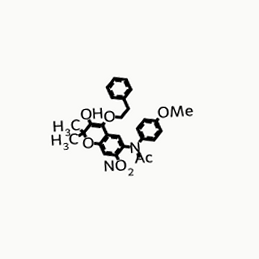 COc1ccc(N(C(C)=O)c2cc3c(cc2[N+](=O)[O-])OC(C)(C)C(O)=C3OCCc2ccccc2)cc1